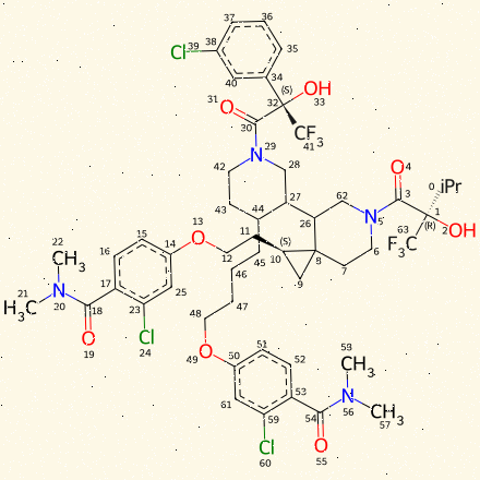 CC(C)[C@@](O)(C(=O)N1CCC2(C[C@H]2CCOc2ccc(C(=O)N(C)C)c(Cl)c2)C(C2CN(C(=O)[C@@](O)(c3cccc(Cl)c3)C(F)(F)F)CCC2CCCCOc2ccc(C(=O)N(C)C)c(Cl)c2)C1)C(F)(F)F